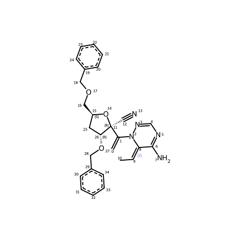 C=C(N1N=CN=C(N)/C1=C/C)[C@]1(C#N)O[C@H](COCc2ccccc2)C[C@H]1OCc1ccccc1